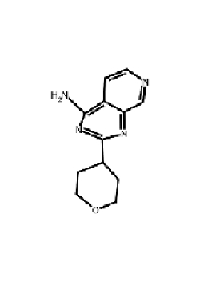 Nc1nc(C2CCOCC2)nc2cnccc12